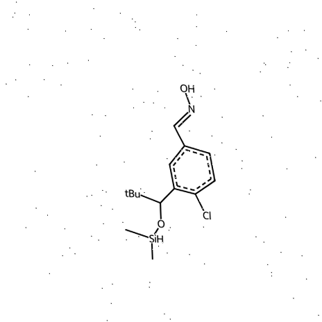 C[SiH](C)OC(c1cc(/C=N/O)ccc1Cl)C(C)(C)C